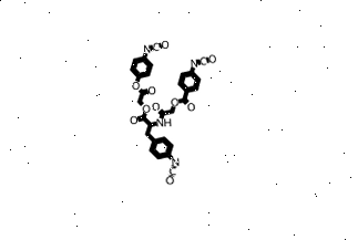 O=C=Nc1ccc(CC(NC(=O)COC(=O)c2ccc(N=C=O)cc2)C(=O)OCC(=O)Oc2ccc(N=C=O)cc2)cc1